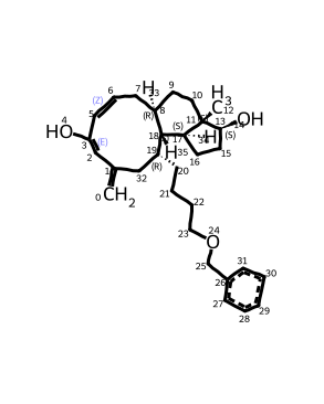 C=C1/C=C(O)\C=C/C[C@H]2CC[C@]3(C)[C@@H](O)CC[C@H]3[C@@H]2[C@H](CCCCOCc2ccccc2)C1